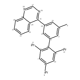 Cc1cc(-c2c(C(C)C)cc(C(C)C)cc2C(C)C)cc(-c2ncnc3ccccc23)c1